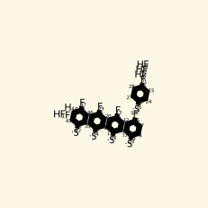 F.F.F.F.F.Fc1ccc([S])cc1.Fc1ccc([S])cc1.Fc1ccc([S])cc1.Fc1ccc([S])cc1.Fc1ccc([S])cc1